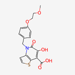 COCCOc1ccc(Cn2c(=O)c(O)c(C(=O)O)c3sccc32)cc1